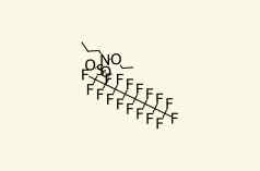 CCCN(OCC)S(=O)(=O)C(F)(F)C(F)(F)C(F)(F)C(F)(F)C(F)(F)C(F)(F)C(F)(F)C(F)(F)F